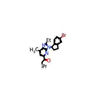 CCc1nc2c(C)cc(C(=O)CC(C)C)nc2n1C1CCc2cc(Br)ccc21